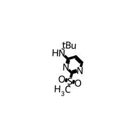 CC(C)(C)Nc1ccnc(S(C)(=O)=O)n1